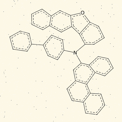 c1ccc(-c2ccc(N(c3cc4ccc5ccccc5c4c4ccccc34)c3cccc4oc5cc6ccccc6cc5c34)cc2)cc1